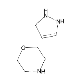 C1=CNNC1.C1COCCN1